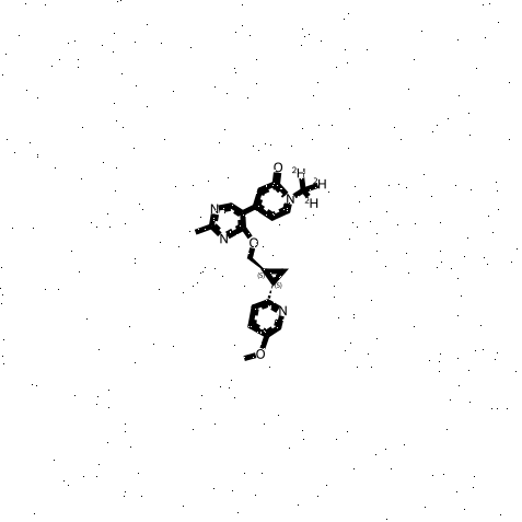 [2H]C([2H])([2H])n1ccc(-c2cnc(C)nc2OC[C@H]2C[C@@H]2c2ccc(OC)cn2)cc1=O